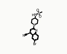 CS(=O)(=O)NC1CCN(c2cc(C#N)c3cc(Br)ccc3n2)CC1